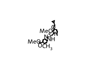 COC(=O)c1cc2nc(SCc3nccc(OCC4CC4)c3OC)[nH]c2cc1C